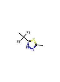 CCC(C)(CC)c1nnc(C)s1